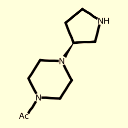 CC(=O)N1CCN([C@H]2CCNC2)CC1